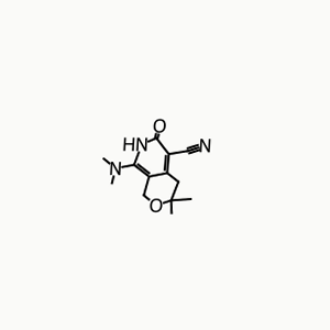 CN(C)c1[nH]c(=O)c(C#N)c2c1COC(C)(C)C2